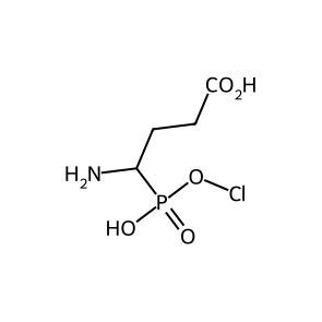 NC(CCC(=O)O)P(=O)(O)OCl